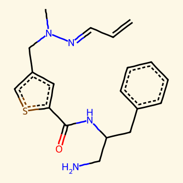 C=CC=NN(C)Cc1csc(C(=O)NC(CN)Cc2ccccc2)c1